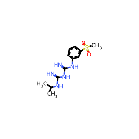 CC(C)NC(=N)NC(=N)Nc1cccc(S(C)(=O)=O)c1